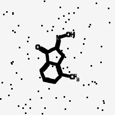 O=C1C(=NO)Cc2c1cccc2C(F)(F)F